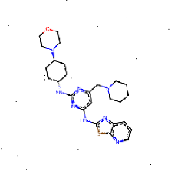 c1cnc2sc(Nc3cc(CN4CCCCC4)nc(N[C@H]4CC[C@H](N5CCOCC5)CC4)n3)nc2c1